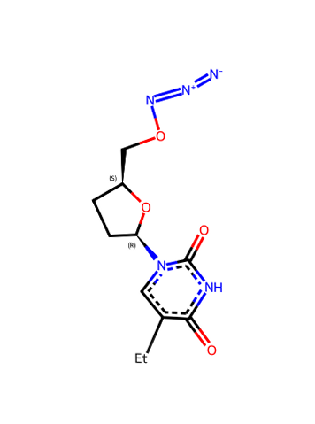 CCc1cn([C@H]2CC[C@@H](CON=[N+]=[N-])O2)c(=O)[nH]c1=O